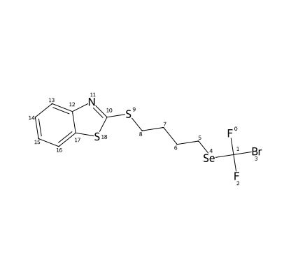 FC(F)(Br)[Se]CCCCSc1nc2ccccc2s1